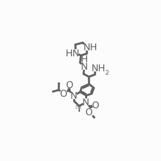 COC(=O)N1c2ccc(C(CN)CNCC3CNCCN3)cc2N(C(=O)OC(C)C)C[C@@H]1C